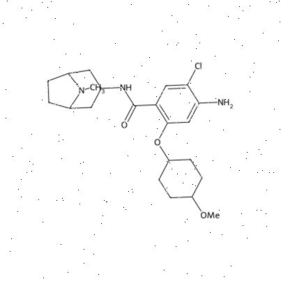 COC1CCC(Oc2cc(N)c(Cl)cc2C(=O)NC2CC3CCC(C2)N3C)CC1